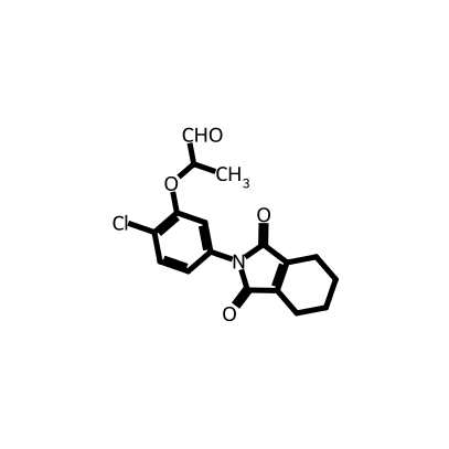 CC(C=O)Oc1cc(N2C(=O)C3=C(CCCC3)C2=O)ccc1Cl